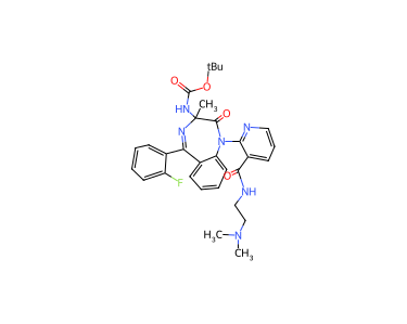 CN(C)CCNC(=O)c1cccnc1N1C(=O)C(C)(NC(=O)OC(C)(C)C)N=C(c2ccccc2F)c2ccccc21